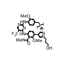 CNC(=O)c1c(Nc2nc(Nc3ccc(CP(=O)(I)I)cc3OC)ncc2C(F)(F)F)ccc(-c2cnn(CCCO)c2)c1OC